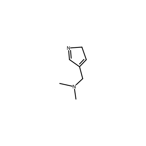 CN(C)CC1=CCN=C1